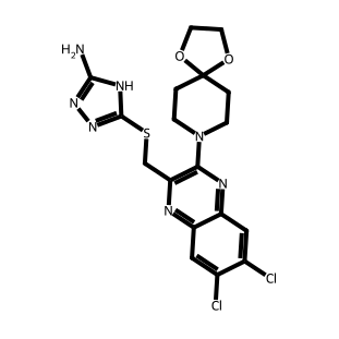 Nc1nnc(SCc2nc3cc(Cl)c(Cl)cc3nc2N2CCC3(CC2)OCCO3)[nH]1